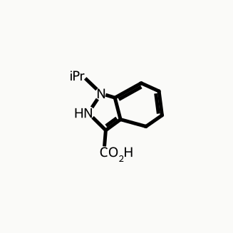 CC(C)N1NC(C(=O)O)=C2CC=CC=C21